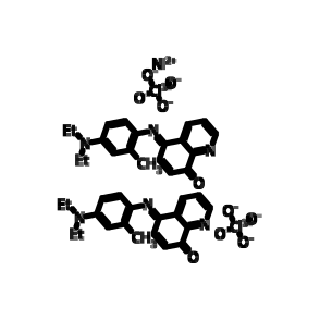 CCN(CC)c1ccc(N=C2C=CC(=O)c3ncccc32)c(C)c1.CCN(CC)c1ccc(N=C2C=CC(=O)c3ncccc32)c(C)c1.[Ni+2].[O-][Cl+3]([O-])([O-])[O-].[O-][Cl+3]([O-])([O-])[O-]